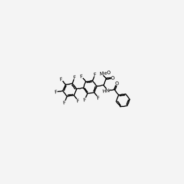 COC(=O)C(NC(=O)c1ccccc1)c1c(F)c(F)c(-c2c(F)c(F)c(F)c(F)c2F)c(F)c1F